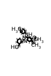 COc1cc2nc(N3CCCC(CO)C3)nc(NC3CCN(C)CC3)c2cc1OC